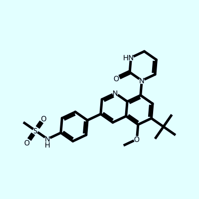 COc1c(C(C)(C)C)cc(N2C=CCNC2=O)c2ncc(-c3ccc(NS(C)(=O)=O)cc3)cc12